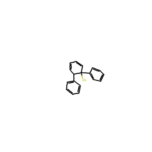 SC1(c2ccccc2)C=CC=CC1c1ccccc1